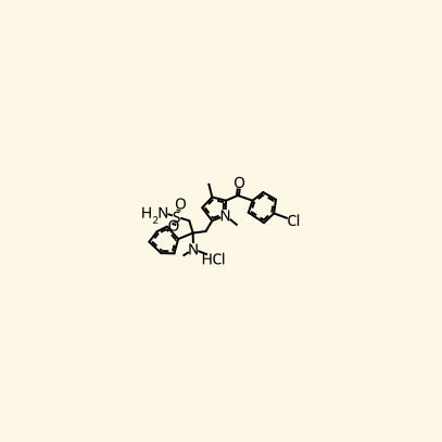 Cc1cc(CC(CS(N)(=O)=O)(c2ccccc2)N(C)C)n(C)c1C(=O)c1ccc(Cl)cc1.Cl